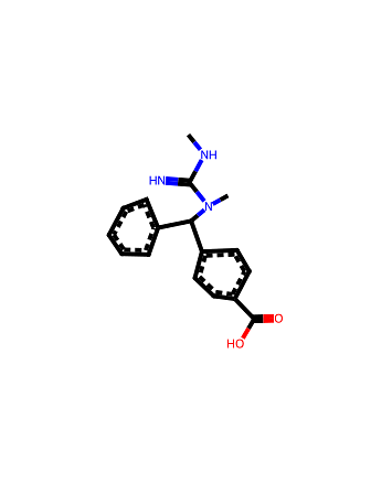 CNC(=N)N(C)C(c1ccccc1)c1ccc(C(=O)O)cc1